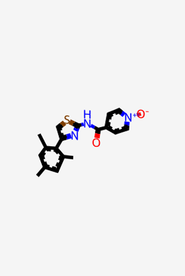 Cc1cc(C)c(-c2csc(NC(=O)c3cc[n+]([O-])cc3)n2)c(C)c1